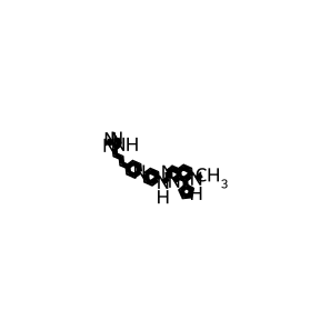 CNc1ccc2cnc(Nc3ccc(N4CCC(CCCc5nnn[nH]5)CC4)cc3)nc2c1C1CCCC1